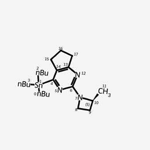 CCC[CH2][Sn]([CH2]CCC)([CH2]CCC)[c]1nc(N2CC[C@@H]2C)nc2c1CCC2